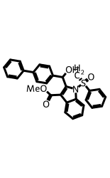 C=S(=O)(c1ccccc1)n1c(C(O)c2ccc(-c3ccccc3)cc2)c(C(=O)OC)c2ccccc21